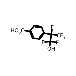 O=C(O)c1ccc(C(F)(C(O)(F)F)C(F)(F)F)cc1